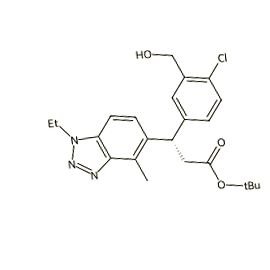 CCn1nnc2c(C)c([C@@H](CC(=O)OC(C)(C)C)c3ccc(Cl)c(CO)c3)ccc21